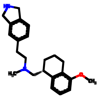 COc1cccc2c1CCC[C@H]2CN(C)CCc1ccc2c(c1)CNC2